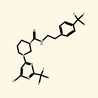 O=C(NCCc1ccc(C(F)(F)F)cc1)[C@@H]1CCCN(c2cc(Cl)nc(C(F)(F)F)n2)C1